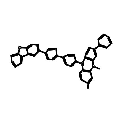 Cc1ccc2c(c1)N(C)c1cc(-c3ccccc3)ccc1N2c1ccc(-c2ccc(-c3ccc4oc5ccccc5c4c3)cc2)cc1